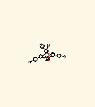 N#Cc1ccc(-c2ccc3c(c2)c2ccccc2n3-c2cc(C#N)c(-c3ccncc3)cc2-n2c3ccccc3c3cc(-c4ccc(C#N)cc4)ccc32)cc1